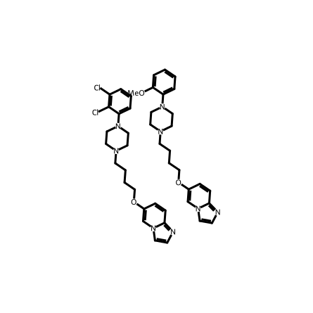 COc1ccccc1N1CCN(CCCCOc2ccc3nccn3c2)CC1.Clc1cccc(N2CCN(CCCCOc3ccc4nccn4c3)CC2)c1Cl